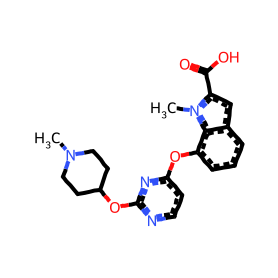 CN1CCC(Oc2nccc(Oc3cccc4cc(C(=O)O)n(C)c34)n2)CC1